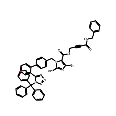 CCCc1nc(CC)c(C(=O)OCC#CC(=O)NCc2ccccc2)n1Cc1ccc(-c2ccccc2-c2nnnn2C(c2ccccc2)(c2ccccc2)c2ccccc2)cc1